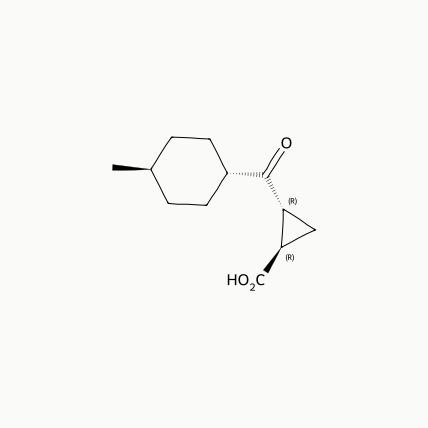 C[C@H]1CC[C@H](C(=O)[C@@H]2C[C@H]2C(=O)O)CC1